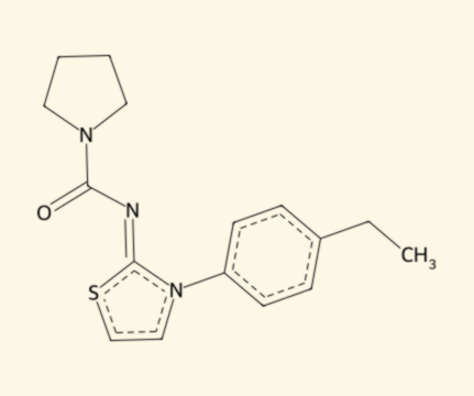 CCc1ccc(-n2ccsc2=NC(=O)N2CCCC2)cc1